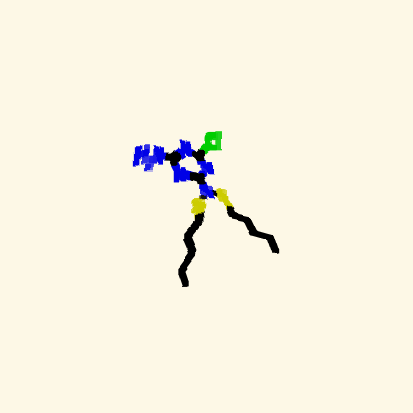 CCCCCSN(SCCCCC)c1nc(N)nc(Cl)n1